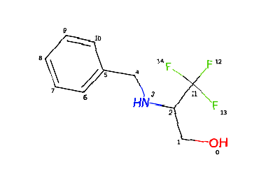 OCC(NCc1ccccc1)C(F)(F)F